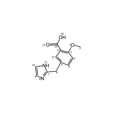 COc1ccc(Cc2ncc[nH]2)cc1C(=O)O